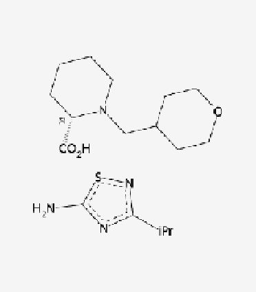 CC(C)c1nsc(N)n1.O=C(O)[C@@H]1CCCCN1CC1CCOCC1